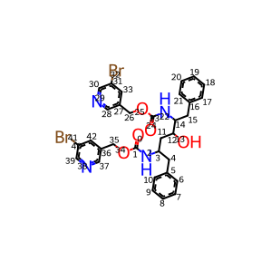 O=C(NC(Cc1ccccc1)CC(O)C(Cc1ccccc1)NC(=O)OCc1cncc(Br)c1)OCc1cncc(Br)c1